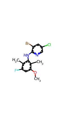 COc1cc(F)c(C)c(Nc2ncc(Cl)cc2Br)c1C